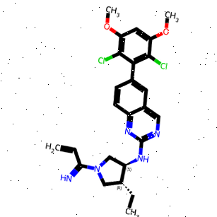 C=CC(=N)N1C[C@@H](CC)[C@H](Nc2ncc3cc(-c4c(Cl)c(OC)cc(OC)c4Cl)ccc3n2)C1